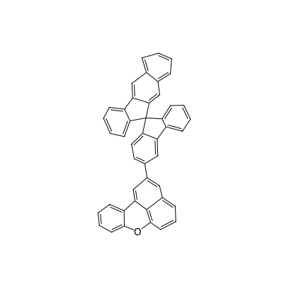 c1ccc2c(c1)Oc1cccc3cc(-c4ccc5c(c4)-c4ccccc4C54c5ccccc5-c5cc6ccccc6cc54)cc-2c13